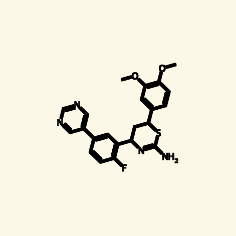 COc1ccc(C2CC(c3cc(-c4cncnc4)ccc3F)N=C(N)S2)cc1OC